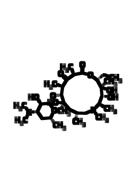 CC[C@H]1OC(=O)[C@H](C)C(=O)[C@H](C)[C@@H](O[C@@H]2O[C@H](C)C[C@H](N(C)C)[C@H]2O)[C@](C)(O)C[C@@H](C)CN(C)[C@H](C)[C@@H](O)[C@]1(C)O